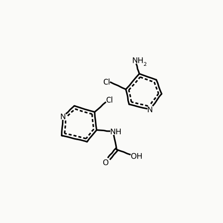 Nc1ccncc1Cl.O=C(O)Nc1ccncc1Cl